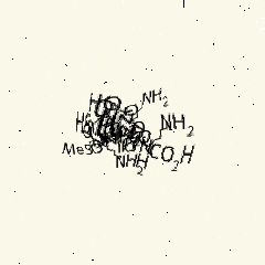 CSCC[C@H](NC(=O)[C@@H](N)CCCCN)C(=O)N[C@@H](CS)C(=O)N[C@@H](CO)C(=O)N[C@@H](CCCCN)C(=O)N[C@@H](CC(C)C)C(=O)N1CCC[C@H]1C(=O)N[C@@H](CCCCN)C(=O)O